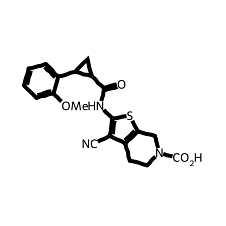 COc1ccccc1C1CC1C(=O)Nc1sc2c(c1C#N)CCN(C(=O)O)C2